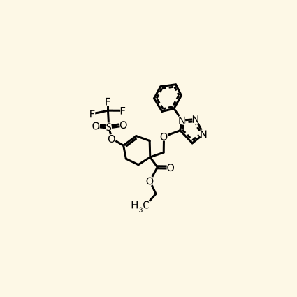 CCOC(=O)C1(COc2cnnn2-c2ccccc2)CC=C(OS(=O)(=O)C(F)(F)F)CC1